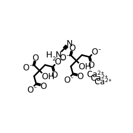 N#CN.O=C([O-])CC(O)(CC(=O)[O-])C(=O)[O-].O=C([O-])CC(O)(CC(=O)[O-])C(=O)[O-].[Ca+2].[Ca+2].[Ca+2]